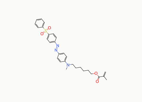 C=C(C)C(=O)OCCCCCCN(C)c1ccc(N=Nc2ccc(S(=O)(=O)c3ccccc3)cc2)cc1